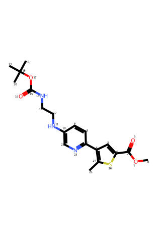 COC(=O)c1cc(-c2ccc(NCCNC(=O)OC(C)(C)C)cn2)c(C)s1